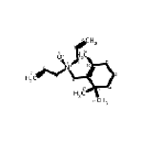 C=CC[N+]([O-])(CC=C)CC1=C(C)CCCC1(C)C